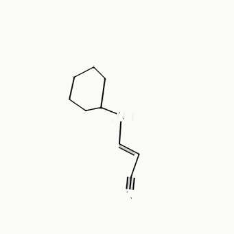 N#CC=CNC1CCCCC1